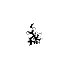 CCOC(=O)C1(O)CC(C)(C)NC1(C)C